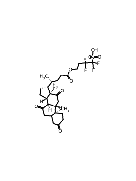 C[C@H](CCC(=O)OCCC(F)(F)C(F)(F)S(=O)(=O)O)[C@H]1CC[C@H]2[C@@H]3C(=O)CC4CC(=O)CC[C@]4(C)[C@H]3CC(=O)[C@]12C